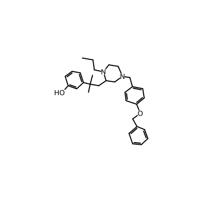 CCCN1CCN(Cc2ccc(OCc3ccccc3)cc2)CC1CC(C)(C)c1cccc(O)c1